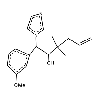 C=CCC(C)(C)C(O)C(c1cccc(OC)c1)n1ccnc1